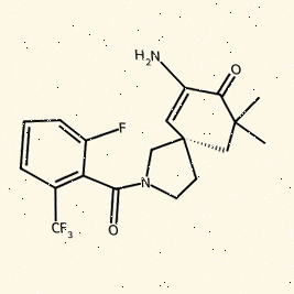 CC1(C)C[C@]2(C=C(N)C1=O)CCN(C(=O)c1c(F)cccc1C(F)(F)F)C2